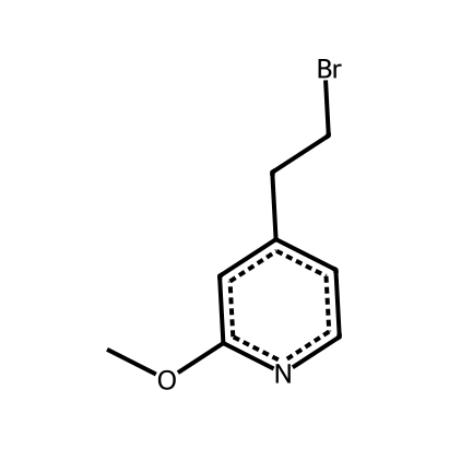 COc1cc(CCBr)ccn1